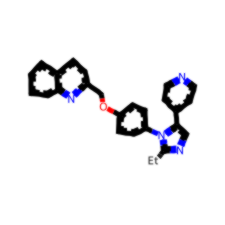 CCc1ncc(-c2ccncc2)n1-c1ccc(OCc2ccc3ccccc3n2)cc1